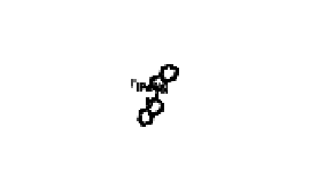 [I-].[I-].[Pd+2].c1ccc2nc(-c3ccc4ccccc4n3)ccc2c1